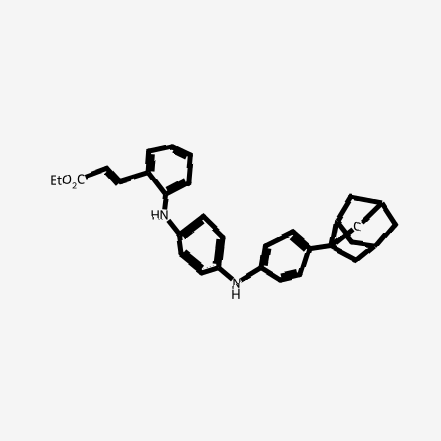 CCOC(=O)/C=C/c1ccccc1Nc1ccc(Nc2ccc(C34CC5CC(CC3C5)C4)cc2)cc1